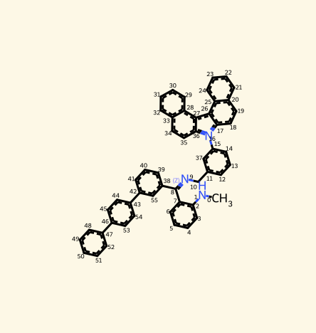 CNc1ccccc1/C(=N\Cc1cccc(-n2c3ccc4ccccc4c3c3c4ccccc4ccc32)c1)c1cccc(-c2ccc(-c3ccccc3)cc2)c1